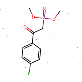 COP(=O)(CC(=O)c1ccc(F)cc1)OC